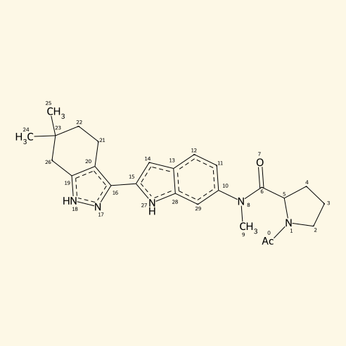 CC(=O)N1CCCC1C(=O)N(C)c1ccc2cc(-c3n[nH]c4c3CCC(C)(C)C4)[nH]c2c1